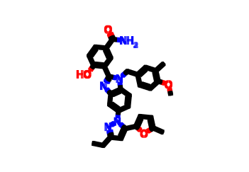 CCc1cc(-c2ccc(C)o2)n(-c2ccc3c(c2)nc(-c2cc(C(N)=O)ccc2O)n3Cc2ccc(OC)c(C)c2)n1